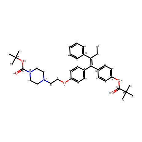 CCC(=C(c1ccc(OCCN2CCN(C(=O)OC(C)(C)C)CC2)cc1)c1ccc(OC(=O)C(C)(C)C)cc1)c1ccccc1